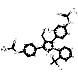 CCc1c(-c2ccc(OC(C)=O)cc2)nn(-c2ccccc2C(F)(F)F)c1-c1ccc(OC(C)=O)cc1